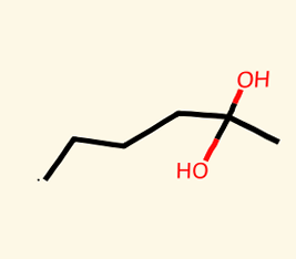 [CH2]CCCC(C)(O)O